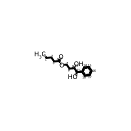 CCCCC(=O)OCC[C@@H](O)[C@H](O)c1ccccc1